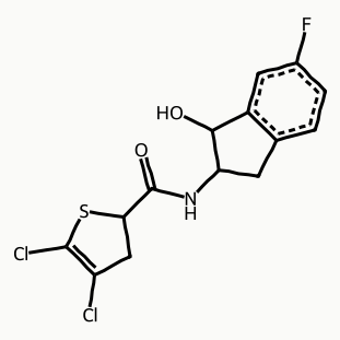 O=C(NC1Cc2ccc(F)cc2C1O)C1CC(Cl)=C(Cl)S1